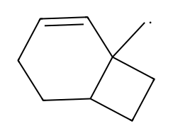 [CH2]C12C=CCCC1CC2